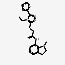 CCn1c(SCC(=O)Nc2cccc3c2N(C)CC3)nnc1-c1cccs1